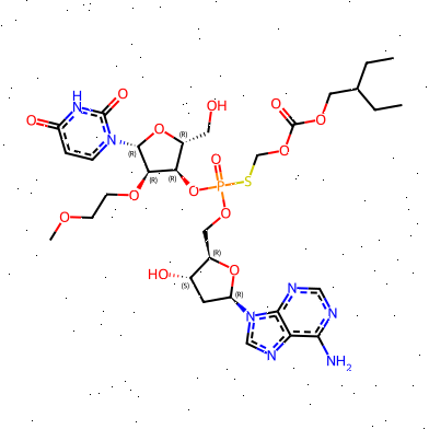 CCC(CC)COC(=O)OCSP(=O)(OC[C@H]1O[C@@H](n2cnc3c(N)ncnc32)C[C@@H]1O)O[C@H]1[C@@H](OCCOC)[C@H](n2ccc(=O)[nH]c2=O)O[C@@H]1CO